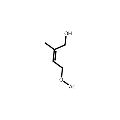 CC(=O)OCC=C(C)CO